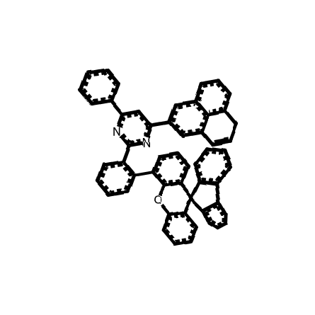 C1=Cc2cc(-c3cc(-c4ccccc4)nc(-c4ccccc4-c4cccc5c4Oc4ccccc4C54c5ccccc5-c5ccccc54)n3)cc3cccc(c23)C1